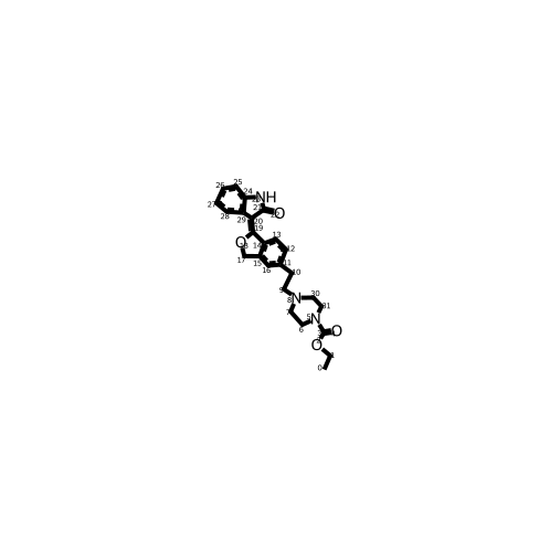 CCOC(=O)N1CCN(CCc2ccc3c(c2)COC3=C2C(=O)Nc3ccccc32)CC1